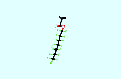 C=C(C)C(=O)OC(F)(F)C(F)(F)C(F)(F)C(F)(F)C(F)(F)C(F)(F)C(F)(F)F